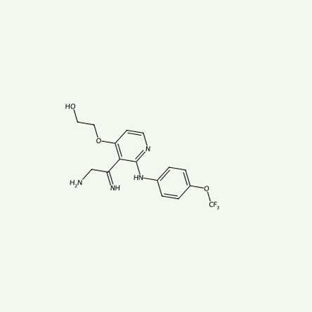 N=C(CN)c1c(OCCO)ccnc1Nc1ccc(OC(F)(F)F)cc1